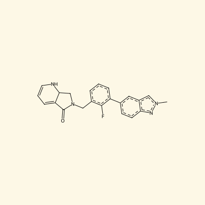 Cn1cc2cc(-c3cccc(CN4CC5NC=CC=C5C4=O)c3F)ccc2n1